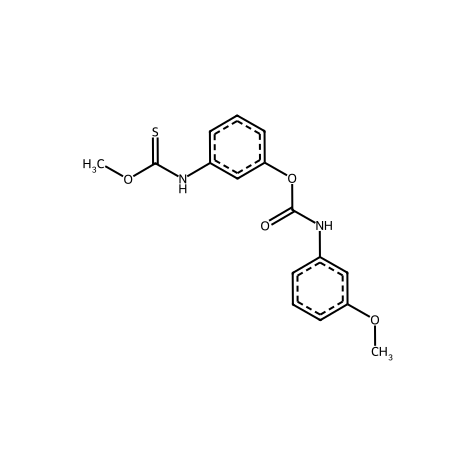 COC(=S)Nc1cccc(OC(=O)Nc2cccc(OC)c2)c1